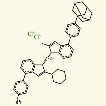 CC1=Cc2c(-c3ccc(C45CC6CC(CC(C6)C4)C5)cc3)cccc2[CH]1[Zr+2][CH]1C(C2CCCCC2)=Cc2c(-c3ccc(C(C)C)cc3)cccc21.[Cl-].[Cl-]